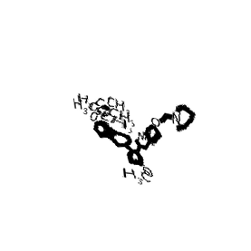 COc1ccc(C2CCc3cc(O[Si](C)(C)C(C)(C)C)ccc3C2)c(C(CN)Cc2ccc(OCCN3CCCCCC3)cc2)c1